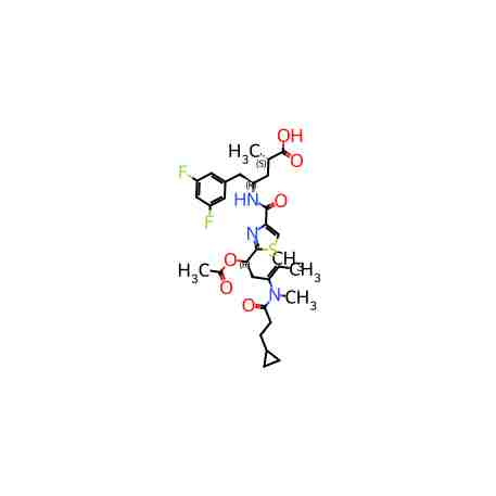 CC(=O)O[C@H](CC(=C(C)C)N(C)C(=O)CCC1CC1)c1nc(C(=O)N[C@@H](Cc2cc(F)cc(F)c2)C[C@H](C)C(=O)O)cs1